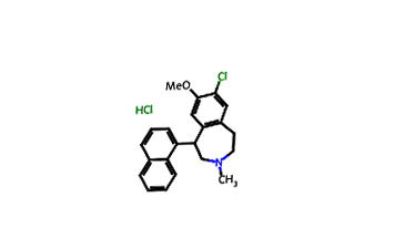 COc1cc2c(cc1Cl)CCN(C)CC2c1cccc2ccccc12.Cl